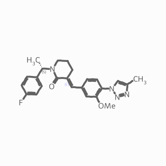 COc1cc(/C=C2\CCCN([C@@H](C)c3ccc(F)cc3)C2=O)ccc1-n1cc(C)nn1